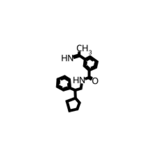 CC(=N)c1cccc(C(=O)NCC(c2ccccc2)C2CCCC2)c1